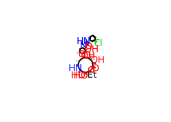 CC[C@H]1OC(=O)[C@H](C)[C@@H](O)[C@H](C)[C@@H](O[C@@H]2O[C@H](C)C[C@H](N(C)C(=O)Nc3cccc(Cl)c3)[C@H]2O)[C@](C)(O)C[C@@H](C)CN[C@H](C)[C@@H](O)[C@]1(C)O